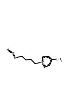 Cc1cc[n+](CCCCN=[N+]=[N-])cc1